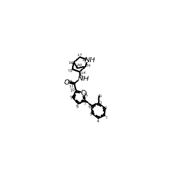 Cc1ccccc1-c1ccc(C(=O)NC2CC3CNC2C3)o1